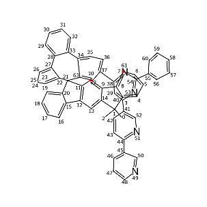 CC1(C)c2ccccc2-c2cc3c(cc21)-c1ccccc1C31c2ccccc2-c2ccccc2-c2ccc(-c3cc(-c4ccc(-c5cccnc5)nc4)nc(-c4ccccc4)n3)cc21